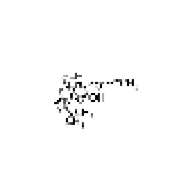 CCCCOC[C@H](NC(=O)N(C)Cc1csc(C(C)C)n1)C(=O)O